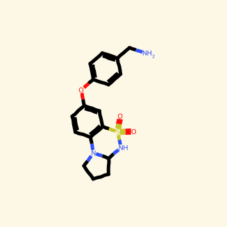 NCc1ccc(Oc2ccc3c(c2)S(=O)(=O)NC2CCCN32)cc1